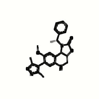 COc1cc2c(cc1-c1c(C)noc1C)NCC1OC(=O)N([C@H](C)c3ccccc3)C21